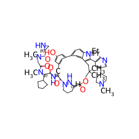 CCn1c(-c2cc(C3CCN(C)CC3)cnc2C(C)C)c2c3cc(ccc31)-c1cc(O)cc(c1)C[C@H](NC(=O)[C@H](C1CCCC1)N(C)C(=O)CN(C)C(=O)[C@H]1CN1)C(=O)N1CCC[C@H](N1)C(=O)OCC(C)(C)C2